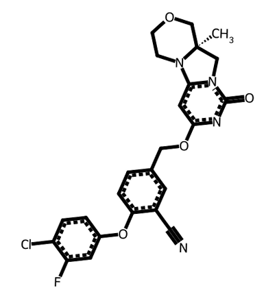 C[C@@]12COCCN1c1cc(OCc3ccc(Oc4ccc(Cl)c(F)c4)c(C#N)c3)nc(=O)n1C2